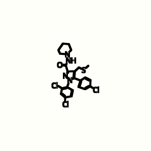 CSCc1c(C(=O)NN2CCCCC2)nn(-c2ccc(Cl)cc2Cl)c1-c1ccc(Cl)cc1